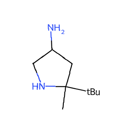 CC(C)(C)C1(C)CC(N)CN1